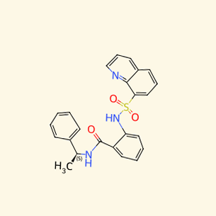 C[C@H](NC(=O)c1ccccc1NS(=O)(=O)c1cccc2cccnc12)c1ccccc1